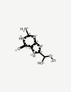 CCOC(O)c1nc2nc(N)[nH]c(=O)c2[nH]1